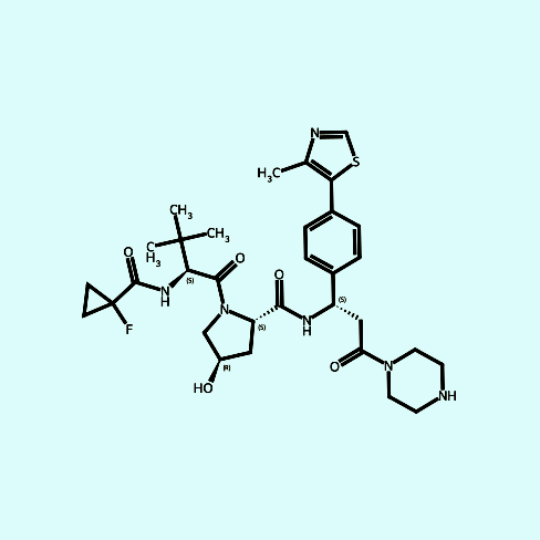 Cc1ncsc1-c1ccc([C@H](CC(=O)N2CCNCC2)NC(=O)[C@@H]2C[C@@H](O)CN2C(=O)[C@@H](NC(=O)C2(F)CC2)C(C)(C)C)cc1